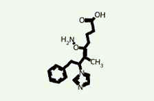 CC(=C(CCCC(=O)O)ON)C(Cc1ccccc1)n1ccnc1